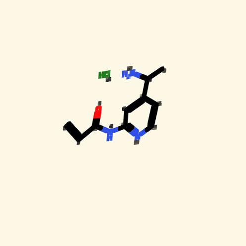 C=CC(=O)Nc1cc(C(C)N)ccn1.Cl